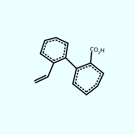 C=Cc1ccccc1-c1ccccc1C(=O)O